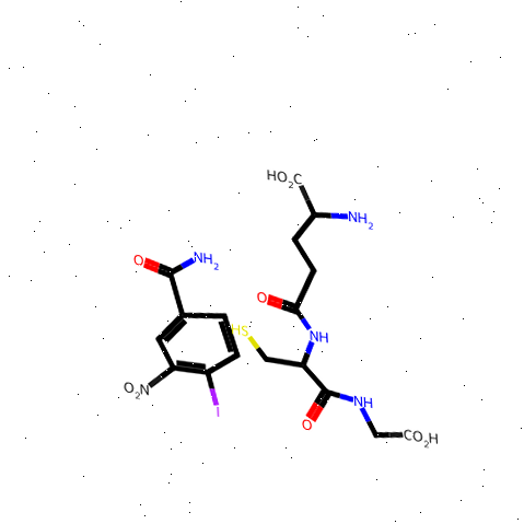 NC(=O)c1ccc(I)c([N+](=O)[O-])c1.NC(CCC(=O)NC(CS)C(=O)NCC(=O)O)C(=O)O